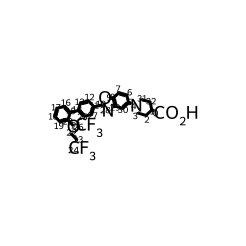 O=C(O)C1CCN(c2ccc3oc(-c4ccc(-c5ccccc5OCCC(F)(F)F)c(C(F)(F)F)c4)nc3c2)CC1